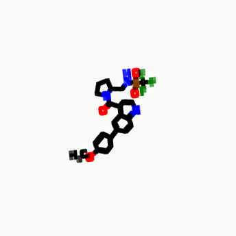 COc1ccc(-c2ccc3nccc(C(=O)N4CCCC4CNS(=O)(=O)C(F)(F)F)c3c2)cc1